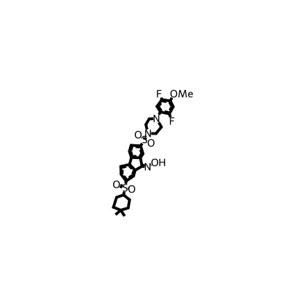 COc1cc(F)c(N2CCN(S(=O)(=O)c3ccc4c(c3)/C(=N\O)c3cc(S(=O)(=O)C5CCC(C)(C)CC5)ccc3-4)CC2)cc1F